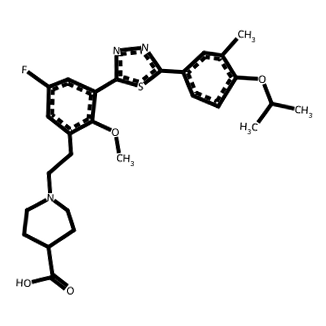 COc1c(CCN2CCC(C(=O)O)CC2)cc(F)cc1-c1nnc(-c2ccc(OC(C)C)c(C)c2)s1